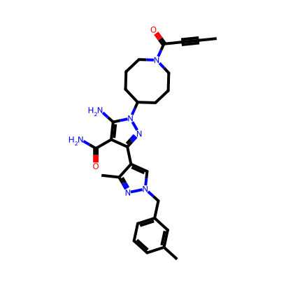 CC#CC(=O)N1CCCC(n2nc(-c3cn(Cc4cccc(C)c4)nc3C)c(C(N)=O)c2N)CCC1